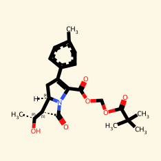 Cc1ccc(C2=C(C(=O)OCOC(=O)C(C)(C)C)N3C(=O)[C@H]([C@@H](C)O)[C@H]3C2)cc1